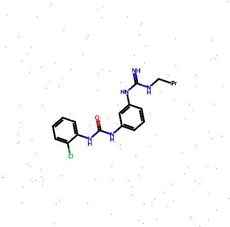 CC(C)CNC(=N)Nc1cccc(NC(=O)Nc2ccccc2Cl)c1